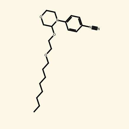 CCCCCCCCOCCOC1COCCN1c1ccc([N+]#N)cc1